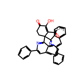 CC(=O)C1=C(O)C(=O)CCC1(c1nc(-c2ccccc2)cc2ccccc12)c1nc(-c2ccccc2)cc2ccccc12